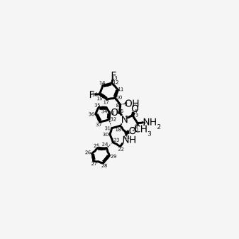 C[C@H](N)C(=O)N(C(=O)[C@@H](O)c1cc(F)cc(F)c1)[C@@H]1C(=O)NC[C@H](c2ccccc2)C[C@@H]1c1ccccc1